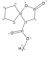 COC(=O)C1CC(=O)OC12CCCC2